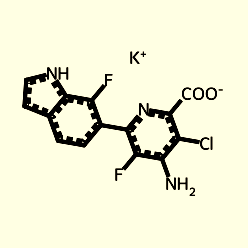 Nc1c(F)c(-c2ccc3cc[nH]c3c2F)nc(C(=O)[O-])c1Cl.[K+]